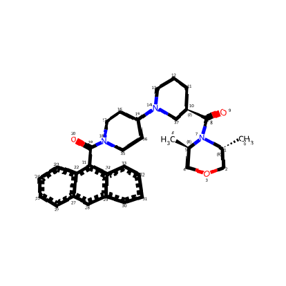 C[C@@H]1COC[C@@H](C)N1C(=O)[C@@H]1CCCN(C2CCN(C(=O)c3c4ccccc4cc4ccccc34)CC2)C1